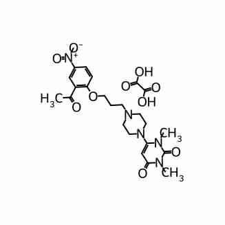 CC(=O)c1cc([N+](=O)[O-])ccc1OCCCN1CCN(c2cc(=O)n(C)c(=O)n2C)CC1.O=C(O)C(=O)O